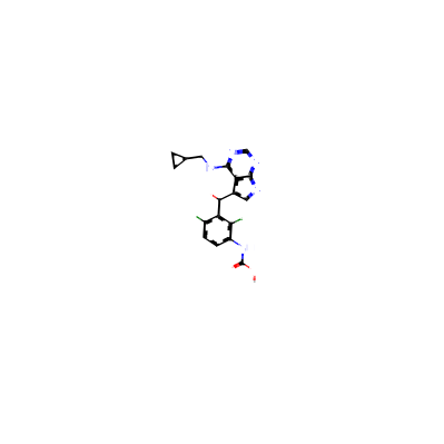 COC(=O)Nc1ccc(F)c(C(O)c2c[nH]c3ncnc(NCC4CC4)c23)c1F